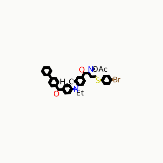 CCN(c1ccc(C(=O)c2ccc(-c3ccccc3)cc2)cc1)c1ccc(C(=O)/C(CCSc2ccc(Br)cc2)=N/OC(C)=O)cc1C